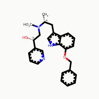 C[C@H](Cc1c[nH]c2c(OCc3ccccc3)cccc12)N(C[C@@H](O)c1cccnc1)C(=O)O